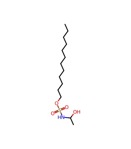 CCCCCCCCCCCCOS(=O)(=O)NC(C)O